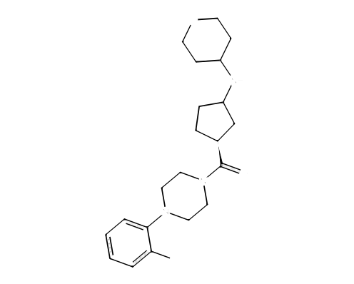 O=C([C@H]1CCC(NC2CCOCC2)C1)N1CCN(c2ccccc2C(F)(F)F)CC1